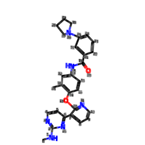 CNc1nccc(-c2cccnc2Oc2ccc(NC(=O)c3cccc(N4CCCC4)c3)cc2C)n1